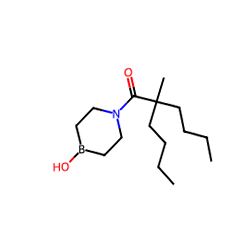 CCCCC(C)(CCCC)C(=O)N1CCB(O)CC1